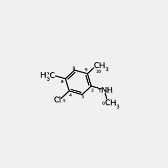 CNc1cc(Cl)c(C)cc1C